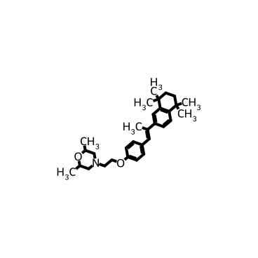 CC(=Cc1ccc(OCCN2CC(C)OC(C)C2)cc1)c1ccc2c(c1)C(C)(C)CCC2(C)C